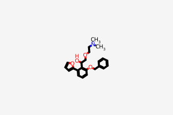 CN(C)CCOCC(O)c1c(OCc2ccccc2)cccc1-c1ccco1